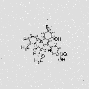 CCC(C)(COC)c1c(-c2ccc(C(=O)O)cc2)c2c(O)cc(F)cc2n1-c1ccc(F)c(C)c1